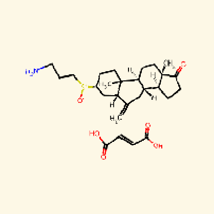 C=C1C[C@@H]2[C@H](CC[C@]3(C)C(=O)CC[C@@H]23)[C@@]2(C)CC[C@H]([S+]([O-])CCCN)C[C@@H]12.O=C(O)/C=C/C(=O)O